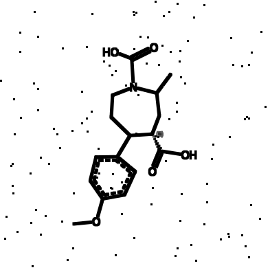 COc1ccc(C2CCN(C(=O)O)C(C)C[C@@H]2C(=O)O)cc1